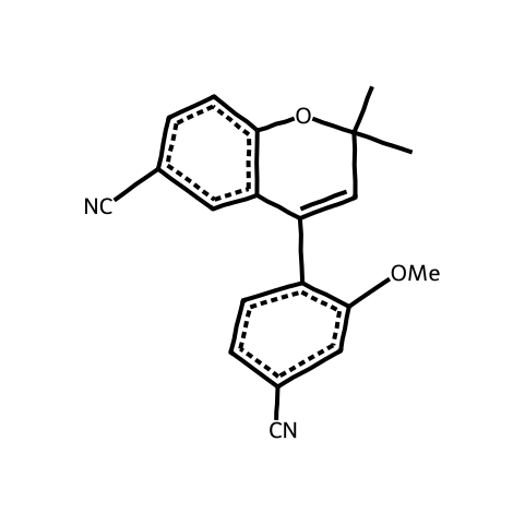 COc1cc(C#N)ccc1C1=CC(C)(C)Oc2ccc(C#N)cc21